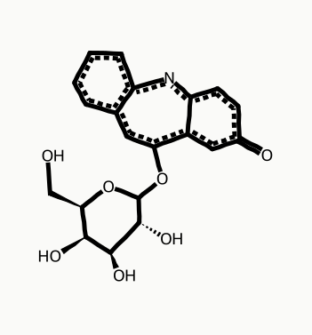 O=c1ccc2nc3ccccc3cc(OC3O[C@H](CO)[C@H](O)[C@H](O)[C@H]3O)c-2c1